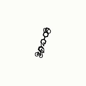 O=[N+]([O-])c1ccc(N2CCC(C3CCC4(CC3)OCCO4)CC2)cn1